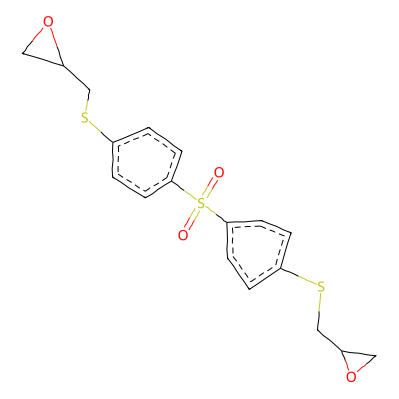 O=S(=O)(c1ccc(SCC2CO2)cc1)c1ccc(SCC2CO2)cc1